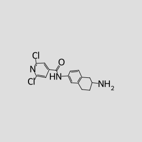 NC1CCc2cc(NC(=O)c3cc(Cl)nc(Cl)c3)ccc2C1